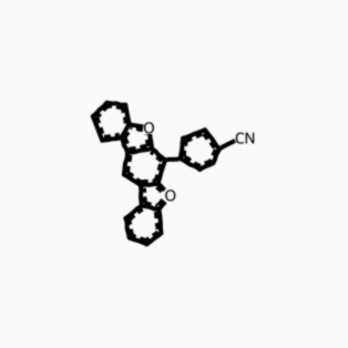 N#Cc1ccc(-c2c3oc4ccccc4c3cc3c2oc2ccccc23)cc1